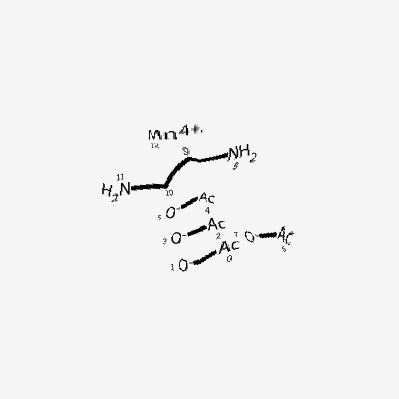 CC(=O)[O-].CC(=O)[O-].CC(=O)[O-].CC(=O)[O-].NCCN.[Mn+4]